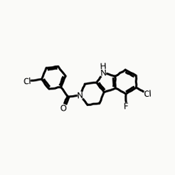 O=C(c1cccc(Cl)c1)N1CCc2c([nH]c3ccc(Cl)c(F)c23)C1